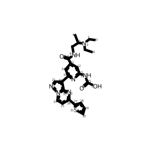 CCN(CC)C(C)CNC(=O)c1cc(NC(=O)O)nc(-c2cnn3ccc(-c4cccs4)nc23)c1